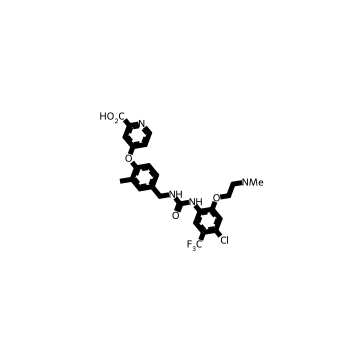 CNCCOc1cc(Cl)c(C(F)(F)F)cc1NC(=O)NCc1ccc(Oc2ccnc(C(=O)O)c2)c(C)c1